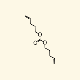 C=CCCCOC(=O)OCCCC=C